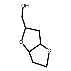 OCC1CC2OCCC2O1